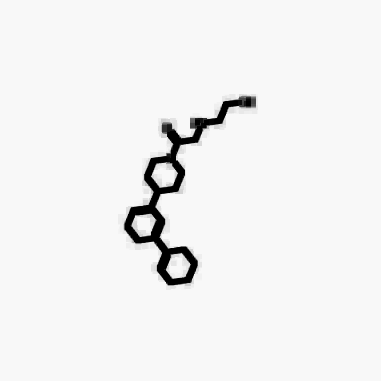 O=C(CNCCO)N1CCC(C2=CC[CH]C(C3=CCCCC3)=C2)CC1